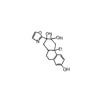 CCC12CC(C)(O)C(O)(c3ncco3)CC1CCc1cc(O)ccc12